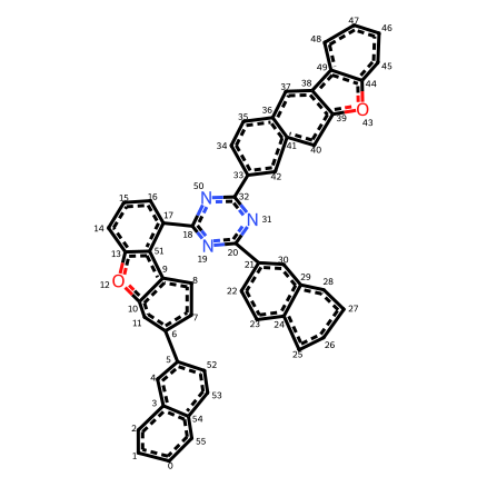 c1ccc2cc(-c3ccc4c(c3)oc3cccc(-c5nc(-c6ccc7ccccc7c6)nc(-c6ccc7cc8c(cc7c6)oc6ccccc68)n5)c34)ccc2c1